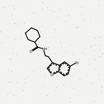 CCc1ccc2occ(CCNC(=O)C3CCCCC3)c2c1